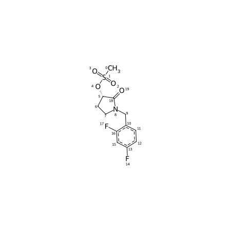 CS(=O)(=O)O[C@H]1CCN(Cc2ccc(F)cc2F)C1=O